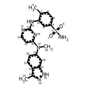 Cc1ccc(S(N)(=O)=O)cc1Nc1nccc(N(C)c2ccc3c(C)n[nH]c3c2)n1